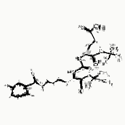 CC(C)(C)OC(=O)[C@H](CCCCNC(=O)c1cccc(I)c1)NC(=O)N[C@@H](CCC(=O)O)C(=O)OC(C)(C)C